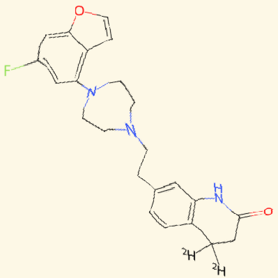 [2H]C1([2H])CC(=O)Nc2cc(CCN3CCN(c4cc(F)cc5occc45)CC3)ccc21